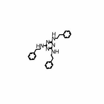 c1ccc(CCNc2nc(NCCc3ccccc3)nc(NCCc3ccccc3)n2)cc1